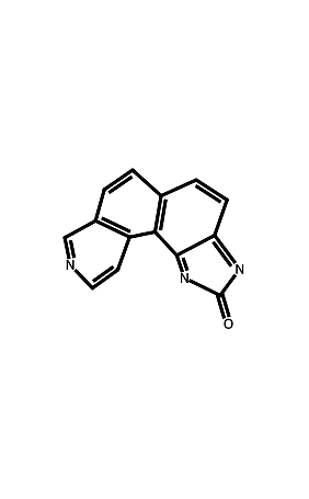 O=C1N=c2ccc3ccc4cnccc4c3c2=N1